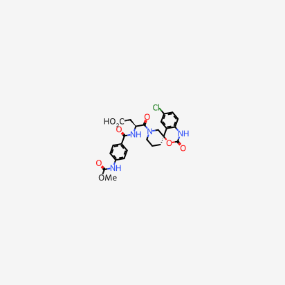 COC(=O)Nc1ccc(C(=O)N[C@@H](CC(=O)O)C(=O)N2CCC[C@@]3(C2)OC(=O)Nc2ccc(Cl)cc23)cc1